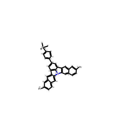 CC(C)c1ccc2cc3c(cc2c1)c1cc(-c2ccc([Si](C)(C)C)cc2)cc2c4cc5cc(C(C)C)ccc5cc4n3c12